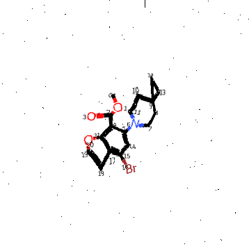 COC(=O)c1c(N2CCC3(CC2)CC3)cc(Br)c2ccoc12